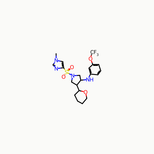 Cn1cnc(S(=O)(=O)N2CC(Nc3cccc(OC(F)(F)F)c3)C(C3CCCCO3)C2)c1